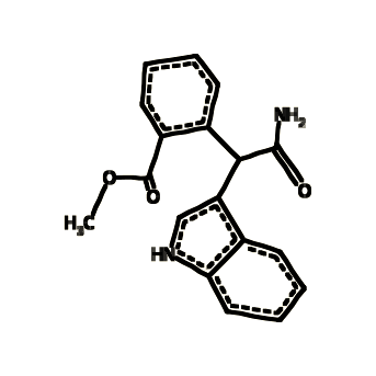 COC(=O)c1ccccc1C(C(N)=O)c1c[nH]c2ccccc12